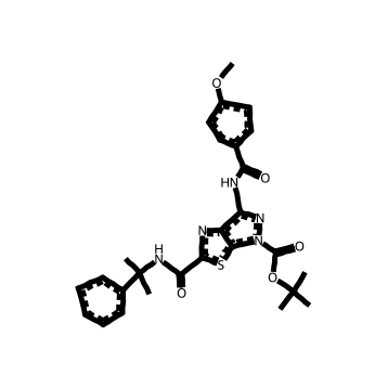 COc1ccc(C(=O)Nc2nn(C(=O)OC(C)(C)C)c3sc(C(=O)NC(C)(C)c4ccccc4)nc23)cc1